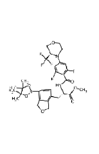 COC(=O)[C@H](Cc1ccc(B2OC(C)(C)C(C)(C)O2)c2c1COC2)NC(=O)c1c(F)cc(N2CCOC[C@@H]2C(F)(F)F)cc1F